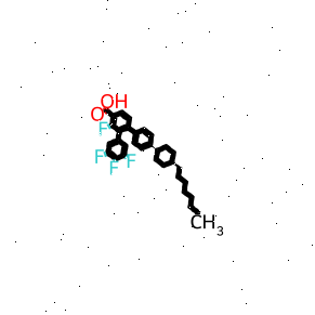 CCCCCCCC[C@H]1CC[C@H](c2ccc(-c3ccc(C(=O)O)c(F)c3-c3cc(F)c(F)c(F)c3)cc2)CC1